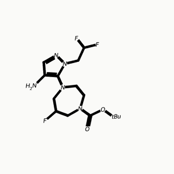 CC(C)(C)OC(=O)N1CCN(c2c(N)cnn2CC(F)F)CC(F)C1